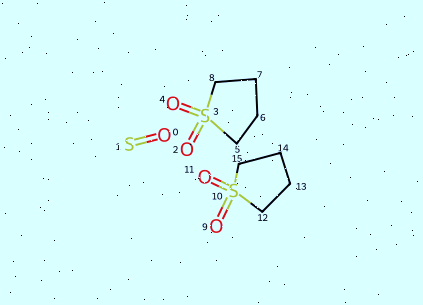 O=S.O=S1(=O)CCCC1.O=S1(=O)CCCC1